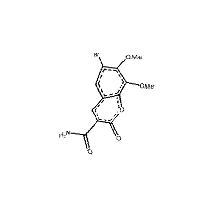 COc1c(Br)cc2cc(C(N)=O)c(=O)oc2c1OC